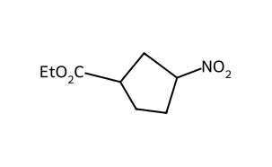 CCOC(=O)C1CCC([N+](=O)[O-])C1